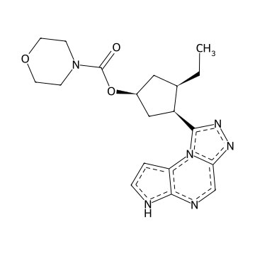 CC[C@@H]1C[C@H](OC(=O)N2CCOCC2)C[C@@H]1c1nnc2cnc3[nH]ccc3n12